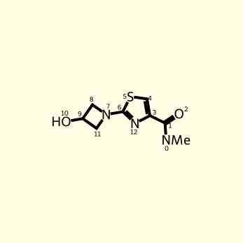 CNC(=O)c1csc(N2CC(O)C2)n1